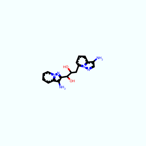 Nc1c(C(O)C(O)Cc2cccc3c(N)cnn23)nn2ccccc12